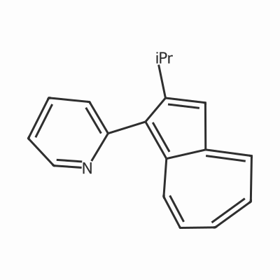 CC(C)c1cc2cccccc-2c1-c1ccccn1